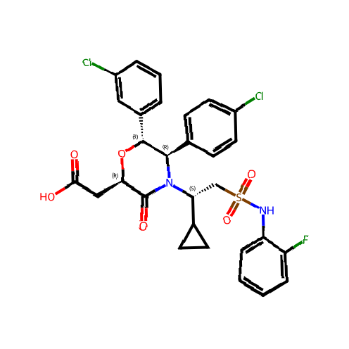 O=C(O)C[C@H]1O[C@H](c2cccc(Cl)c2)[C@@H](c2ccc(Cl)cc2)N([C@H](CS(=O)(=O)Nc2ccccc2F)C2CC2)C1=O